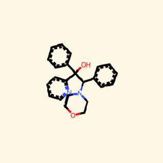 OC(c1ccccc1)(c1ccccn1)C(c1ccccc1)N1CCOCC1